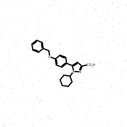 O=C(O)c1cc(-c2ccc(OCc3ccccc3)cc2)n(C2CCCCC2)n1